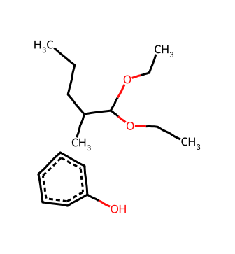 CCCC(C)C(OCC)OCC.Oc1ccccc1